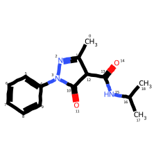 CC1=NN(c2ccccc2)C(=O)C1C(=O)NC(C)C